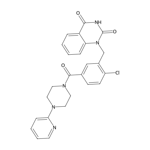 O=C(c1ccc(Cl)c(Cn2c(=O)[nH]c(=O)c3ccccc32)c1)N1CCN(c2ccccn2)CC1